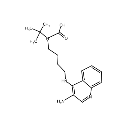 CC(C)(C)N(CCCCNc1c(N)cnc2ccccc12)C(=O)O